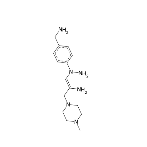 CN1CCN(C/C(N)=C/N(N)c2ccc(CN)cc2)CC1